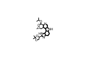 COCc1c(C(=O)OC(C)C)ncc2[nH]c3ccc4nc(C5COC(C)(C)O5)[nH]c4c3c12